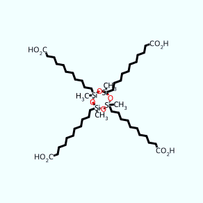 C[Si]1(CCCCCCCCCCC(=O)O)O[Si](C)(CCCCCCCCCCC(=O)O)O[Si](C)(CCCCCCCCCCC(=O)O)O[Si](C)(CCCCCCCCCCC(=O)O)O1